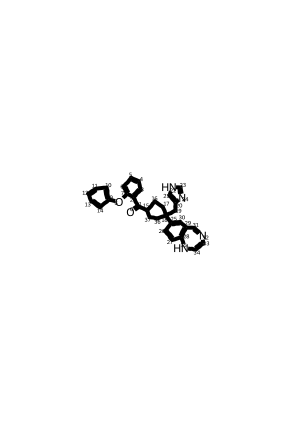 O=C(c1ccccc1Oc1ccccc1)C1CCC(Cc2c[nH]cn2)(c2ccc3c(c2)C=NC=CN3)CC1